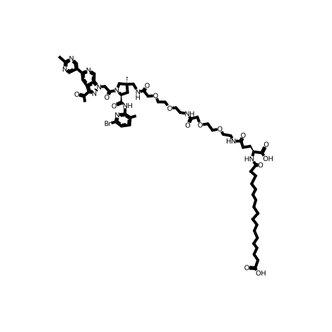 CC(=O)c1nn(CC(=O)N2C[C@@](C)(CNC(=O)COCCOCCNC(=O)COCCOCCNC(=O)CC[C@H](NC(=O)CCCCCCCCCCCCCCCCC(=O)O)C(=O)O)C[C@H]2C(=O)Nc2nc(Br)ccc2C)c2cnc(-c3cnc(C)nc3)cc12